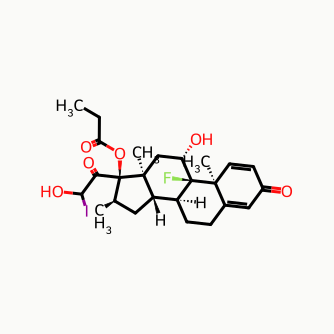 CCC(=O)O[C@]1(C(=O)C(O)I)[C@H](C)C[C@H]2[C@@H]3CCC4=CC(=O)C=C[C@]4(C)[C@@]3(F)[C@@H](O)C[C@@]21C